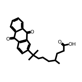 CC(CCCC(C)(C)c1ccc2c(c1)C(=O)c1ccccc1C2=O)CCC(=O)O